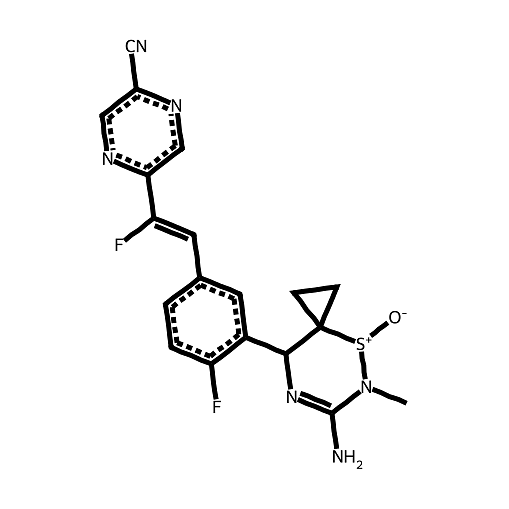 CN1C(N)=NC(c2cc(/C=C(\F)c3cnc(C#N)cn3)ccc2F)C2(CC2)[S+]1[O-]